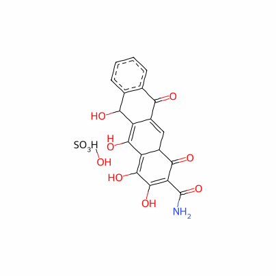 NC(=O)C1=C(O)C(O)=C2C(O)=C3C(=CC2C1=O)C(=O)c1ccccc1C3O.O=S(=O)(O)O